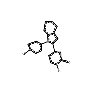 CCn1ccc(-c2cc3ccccc3n2-c2ccc(Cl)cc2)cc1=O